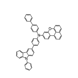 c1ccc(-c2ccc(N(c3ccc(-c4ccc5c(c4)c4ccccc4n5-c4ccccc4)cc3)c3ccc4c(c3)Oc3cccc5cccc-4c35)cc2)cc1